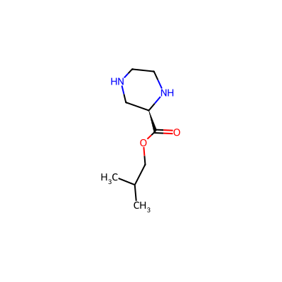 CC(C)COC(=O)[C@H]1CNCCN1